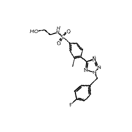 Cc1cc(S(=O)(=O)NCCO)ccc1-c1nnn(Cc2ccc(F)cc2)n1